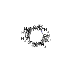 CCC(C)[C@@H]1NC(=O)CN(C)C(=O)[C@@H](Cc2ccccc2)N(C)C(=O)[C@H](C)NC(=O)[C@@H](CC(C)C)OC(=O)/C(C)=C/C[C@H](O)[C@H](C)[C@@H]([C@@H](C)CC)NC(=O)[C@@H](C)NC1=O